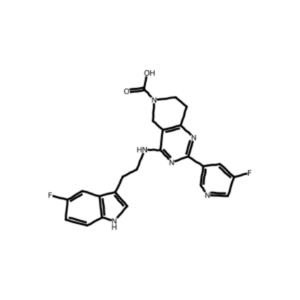 O=C(O)N1CCc2nc(-c3cncc(F)c3)nc(NCCc3c[nH]c4ccc(F)cc34)c2C1